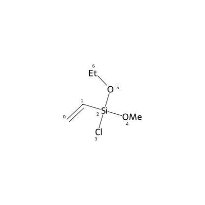 C=C[Si](Cl)(OC)OCC